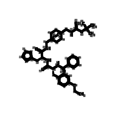 CCOc1ccc(C[C@@H](NC(=O)c2ccccc2)C(=O)N[C@@H](Cc2ccsc2)C(=O)NCC23CCC(CNC(=O)OC(C)(C)C)(CC2)CC3)cc1